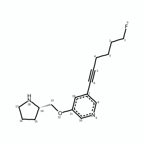 FCCCCC#Cc1cncc(OC[C@@H]2CCCN2)c1